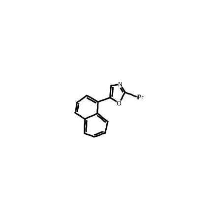 CC(C)c1ncc(-c2cccc3ccccc23)o1